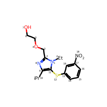 CCn1c(COCCO)nc(C(C)C)c1Sc1cccc([N+](=O)[O-])c1